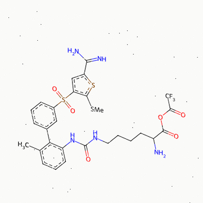 CSc1sc(C(=N)N)cc1S(=O)(=O)c1cccc(-c2c(C)cccc2NC(=O)NCCCCC(N)C(=O)OC(=O)C(F)(F)F)c1